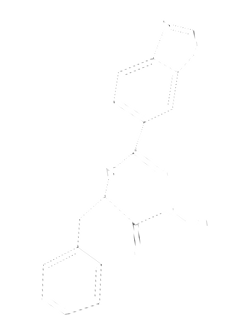 CC(C)(C)OC(=O)C(Cc1ccccc1)NC(=O)c1ccc2ncsc2c1